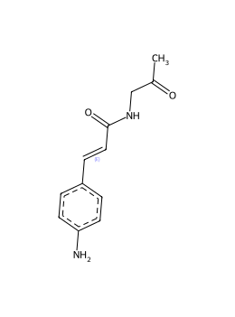 CC(=O)CNC(=O)/C=C/c1ccc(N)cc1